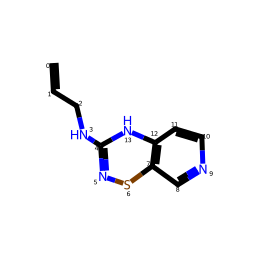 C=CCNC1=NSc2cnccc2N1